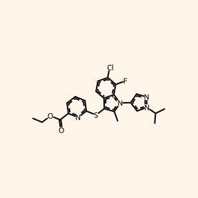 CCOC(=O)c1cccc(Sc2c(C)n(-c3cnn(C(C)C)c3)c3c(F)c(Cl)ccc23)n1